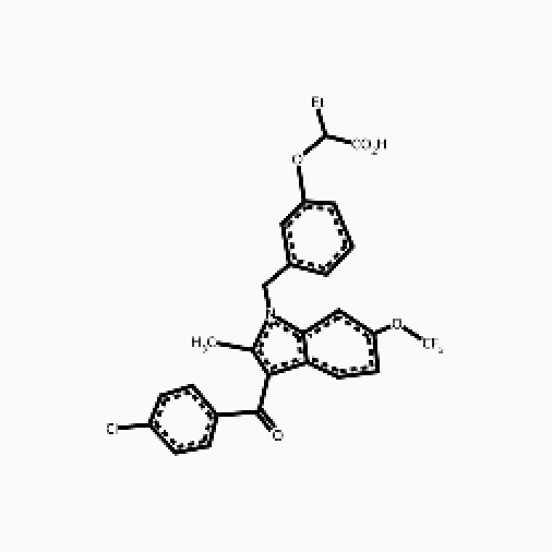 CCC(Oc1cccc(Cn2c(C)c(C(=O)c3ccc(Cl)cc3)c3ccc(OC(F)(F)F)cc32)c1)C(=O)O